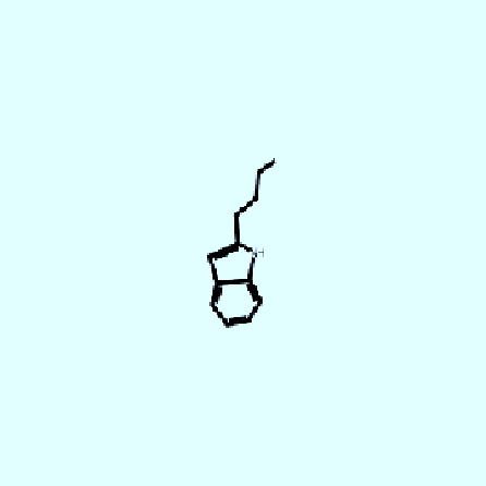 CCCCc1cc2ccccc2[nH]1